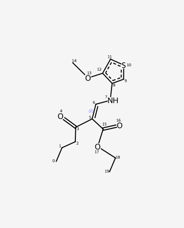 CCCC(=O)/C(=C/Nc1cscc1OC)C(=O)OCC